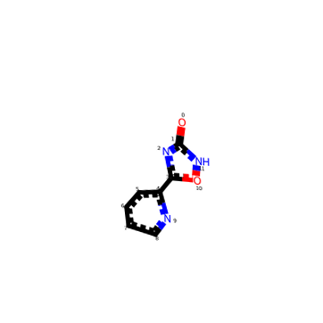 O=c1nc(-c2ccccn2)o[nH]1